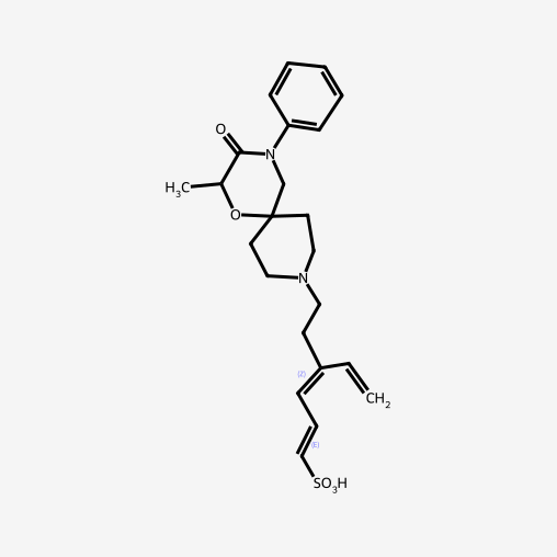 C=C/C(=C\C=C\S(=O)(=O)O)CCN1CCC2(CC1)CN(c1ccccc1)C(=O)C(C)O2